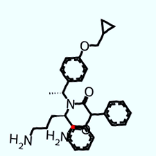 C[C@H](c1ccc(OCC2CC2)cc1)N(C(=O)C(c1ccccc1)c1ccccc1)[C@H](CCCN)C(N)=O